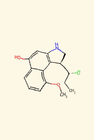 CC[C@@H](Cl)[C@@H]1CNc2cc(O)c3cccc(OC)c3c21